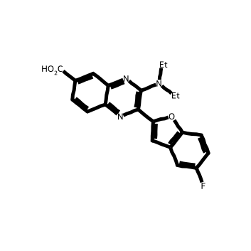 CCN(CC)c1nc2cc(C(=O)O)ccc2nc1-c1cc2cc(F)ccc2o1